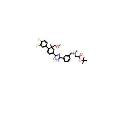 COCC1(C)CC(c2nc(-c3cccc(CN(C)CC(=O)OC(C)(C)C)c3)no2)=CC=C1c1ccc(F)c(F)c1